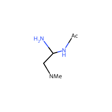 CNCC(N)NC(C)=O